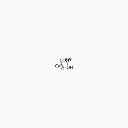 CCCO.O=C([O-])[O-].[Ca+2]